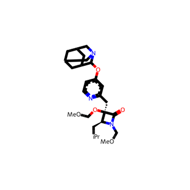 COCO[C@@]1(Cc2cc(OC3C4CC5CC(C4)CN3C5)ccn2)C(=O)N(COC)[C@H]1CC(C)C